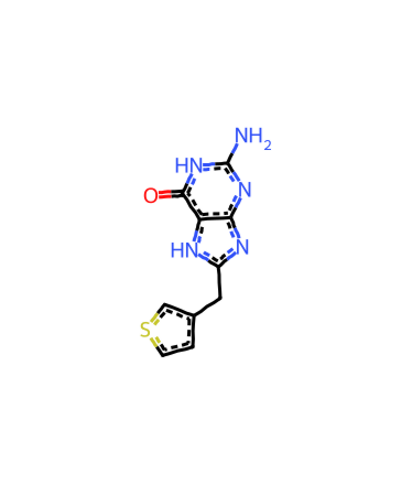 Nc1nc2nc(Cc3ccsc3)[nH]c2c(=O)[nH]1